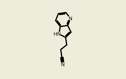 N#CCCc1cc2ncccc2[nH]1